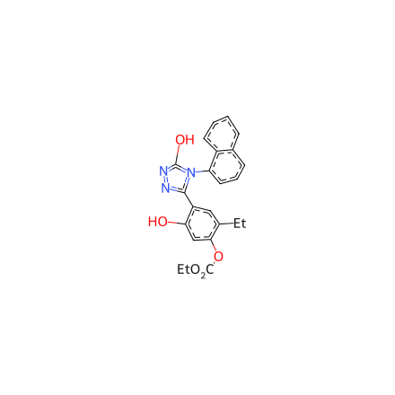 CCOC(=O)Oc1cc(O)c(-c2nnc(O)n2-c2cccc3ccccc23)cc1CC